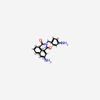 Nc1ccc(CN2C(=O)c3cccc4cc(N)cc(c34)C2=O)cc1